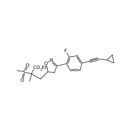 CCOC(=O)C(C)(CC1CC(c2ccc(C#CC3CC3)cc2F)=NO1)S(C)(=O)=O